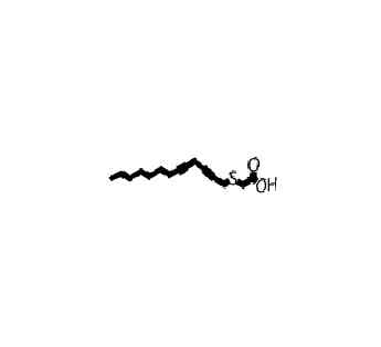 CCCCCCCC#CCC#CCSCC(=O)O